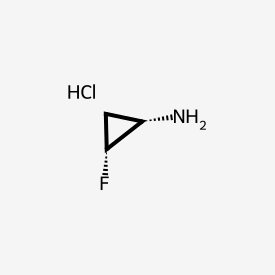 Cl.N[C@H]1C[C@H]1F